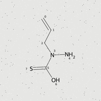 C=CCN(N)C(O)=S